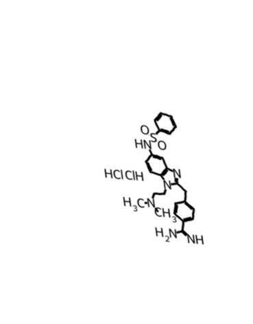 CN(C)CCn1c(Cc2ccc(C(=N)N)cc2)nc2cc(NS(=O)(=O)c3ccccc3)ccc21.Cl.Cl